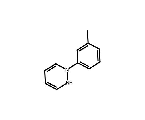 Cc1cccc(N2C=CC=CN2)c1